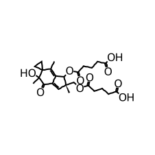 CC1=C2C(=C[C@@](C)(COC(=O)CCCC(=O)O)C2OC(=O)CCCC(=O)O)C(=O)C(C)(O)C12CC2